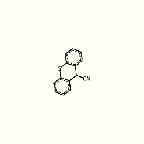 N#CC1c2ccccc2Sc2ccccc21